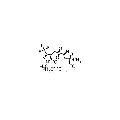 CC(C)Oc1c(CS(=O)(=O)C2=NOC(C)(CCl)C2)c(C(F)(F)F)nn1C